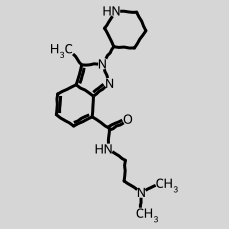 Cc1c2cccc(C(=O)NCCN(C)C)c2nn1C1CCCNC1